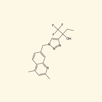 CCC(O)(c1cn(Cc2ccc3c(C)cc(C)nc3c2)nn1)C(F)(F)F